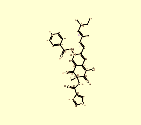 CC[C@H](C)/C=C(C)/C=C/C1=CC2=C(Cl)C(=O)[C@](C)(OC(=O)c3cocn3)C(=O)C2=CN1NC(=O)c1ccncc1